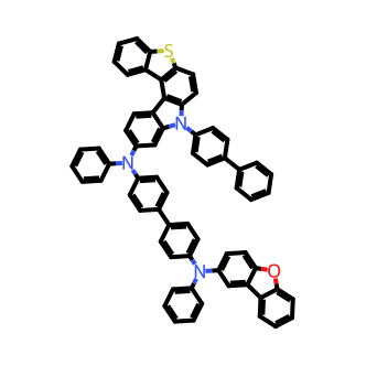 c1ccc(-c2ccc(-n3c4cc(N(c5ccccc5)c5ccc(-c6ccc(N(c7ccccc7)c7ccc8oc9ccccc9c8c7)cc6)cc5)ccc4c4c5c(ccc43)sc3ccccc35)cc2)cc1